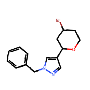 BrC1CCOC(c2cnn(Cc3ccccc3)c2)C1